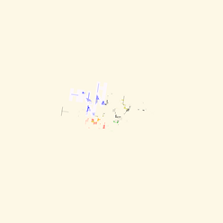 CN1C(=N)N[C@](C)(c2sc(C3CC3)cc2Cl)CS1(=O)=O